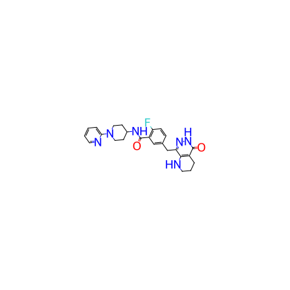 O=C(NC1CCN(c2ccccn2)CC1)c1cc(Cc2n[nH]c(=O)c3c2NCCC3)ccc1F